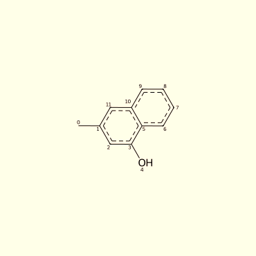 Cc1cc(O)c2ccccc2c1